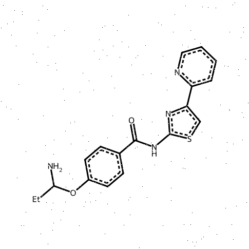 CCC(N)Oc1ccc(C(=O)Nc2nc(-c3ccccn3)cs2)cc1